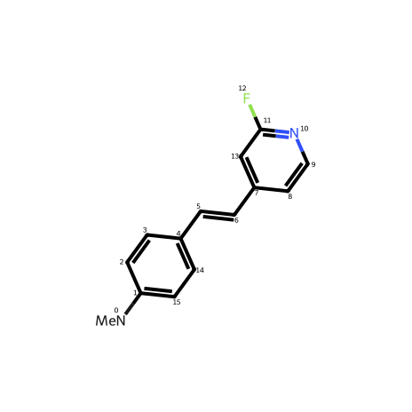 CNc1ccc(/C=C/c2ccnc(F)c2)cc1